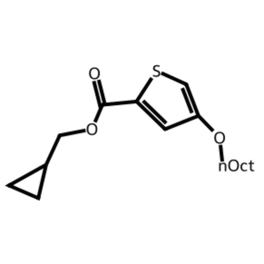 CCCCCCCCOc1csc(C(=O)OCC2CC2)c1